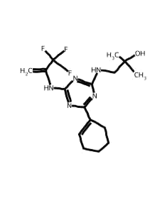 C=C(Nc1nc(NCC(C)(C)O)nc(C2=CCCCC2)n1)C(F)(F)F